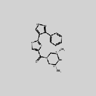 C[C@@H]1CN(C(=O)c2csc(-c3c[nH]nc3-c3ccccc3)n2)C[C@H](C)N1